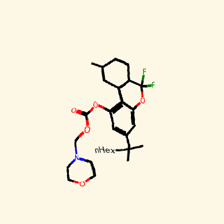 CCCCCCC(C)(C)c1cc(OC(=O)OCN2CCOCC2)c2c(c1)OC(F)(F)C1CCC(C)CC21